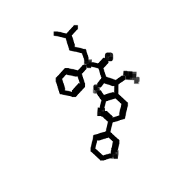 CC(C)=CCN(C(=O)c1sc2nc(C3=CCCN=C3)ccc2c1N)c1ccccc1